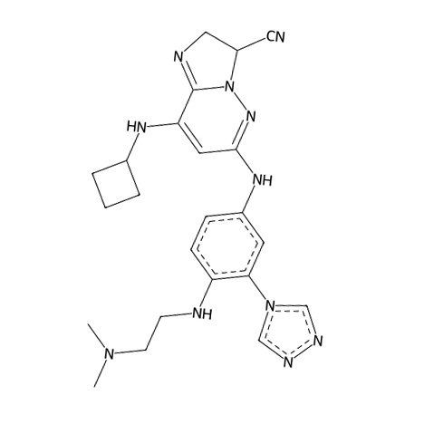 CN(C)CCNc1ccc(NC2=NN3C(=NCC3C#N)C(NC3CCC3)=C2)cc1-n1cnnc1